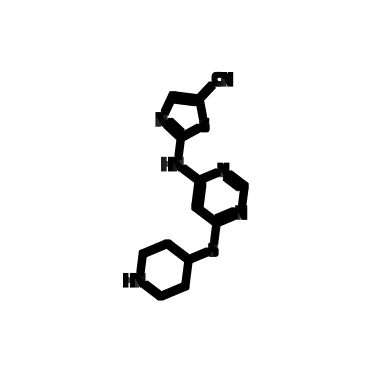 N#Cc1cnc(Nc2cc(SC3CCNCC3)ncn2)s1